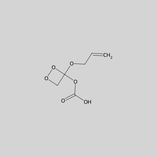 C=CCOC1(OC(=O)O)COO1